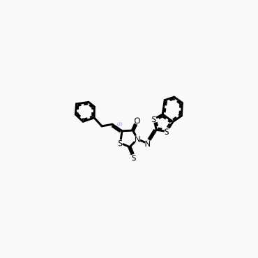 O=C1/C(=C/Cc2ccccc2)SC(=S)N1N=c1sc2ccccc2s1